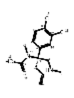 C=CC[C@@](CNC)(c1ccc(Cl)c(Cl)c1)N(C)C(=O)O